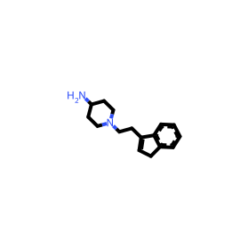 NC1CCN(CCC2=CCc3ccccc32)CC1